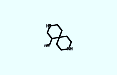 CCCC1CNCCC12CCNCC2